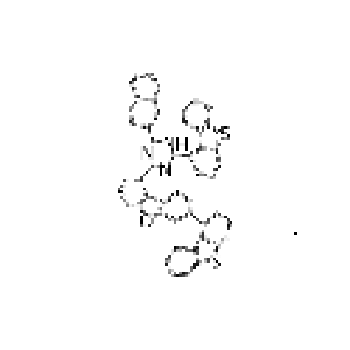 c1ccc2cc(C3=NC(c4cccc5oc6cc(-c7cccc8sc9ccccc9c78)ccc6c45)=NC(c4cccc5sc6ccccc6c45)N3)ccc2c1